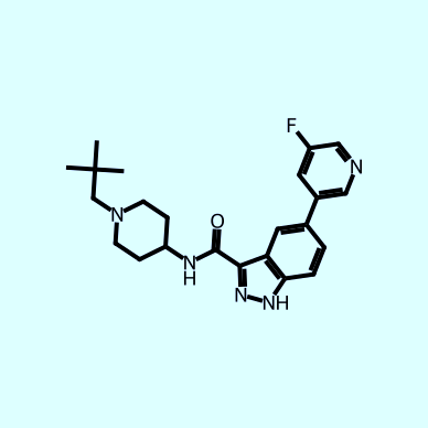 CC(C)(C)CN1CCC(NC(=O)c2n[nH]c3ccc(-c4cncc(F)c4)cc23)CC1